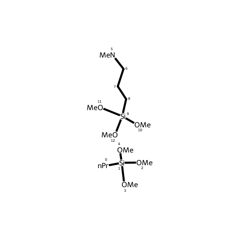 CCC[Si](OC)(OC)OC.CNCCC[Si](OC)(OC)OC